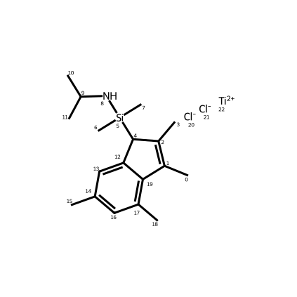 CC1=C(C)C([Si](C)(C)NC(C)C)c2cc(C)cc(C)c21.[Cl-].[Cl-].[Ti+2]